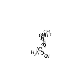 CCNC(=O)N1CC[C@@]2(CCn3nc(-c4cnc(N)c(OCc5cccnc5)c4)cc32)C1